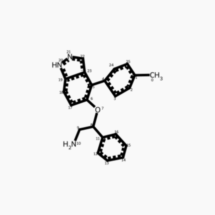 Cc1ccc(-c2c(OC(CN)c3ccccc3)ccc3[nH]ncc23)cc1